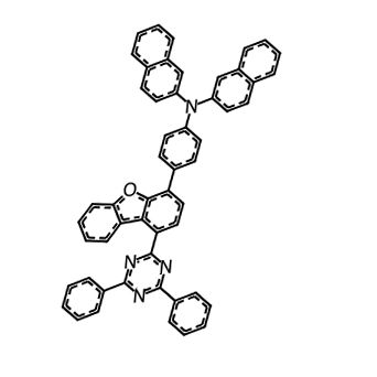 c1ccc(-c2nc(-c3ccccc3)nc(-c3ccc(-c4ccc(N(c5ccc6ccccc6c5)c5ccc6ccccc6c5)cc4)c4oc5ccccc5c34)n2)cc1